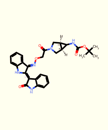 CC(C)(C)OC(=O)NC1[C@H]2CN(C(=O)CO/N=C3/C(=C4/C(=O)Nc5ccccc54)Nc4ccccc43)C[C@@H]12